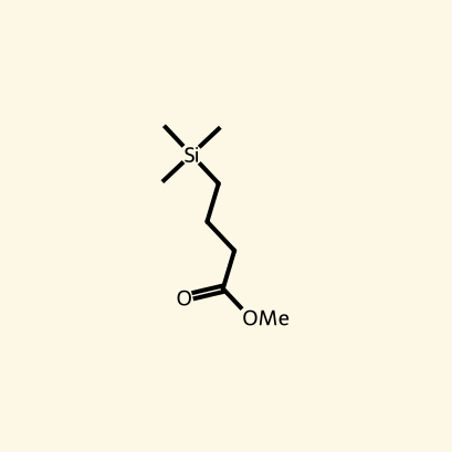 COC(=O)CCC[Si](C)(C)C